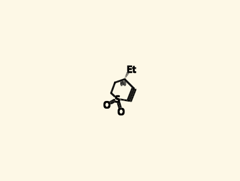 CC[C@@H]1C#CS(=O)(=O)CC1